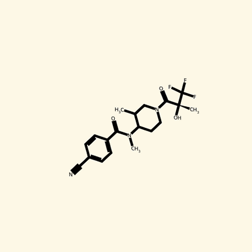 CC1CN(C(=O)[C@@](C)(O)C(F)(F)F)CCC1N(C)C(=O)c1ccc(C#N)cc1